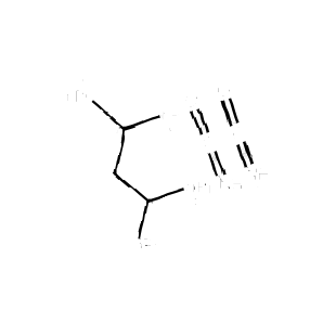 CCCC(CCC)CC(CCC)CCC.N=C=O.N=C=O